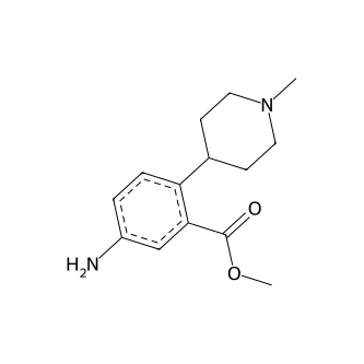 COC(=O)c1cc(N)ccc1C1CCN(C)CC1